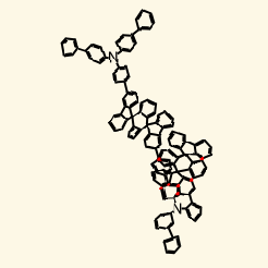 c1ccc(-c2ccc(N(c3ccc(-c4ccccc4)cc3)c3ccc(-c4ccc5c(c4)-c4ccccc4C54c5ccccc5C5(c6ccccc6-c6cc(-c7ccc(-c8ccc(N(c9cccc(-c%10ccccc%10)c9)c9ccccc9-c9ccc%10c(c9)-c9ccccc9C%109c%10ccccc%10C%10(c%11ccccc%11-c%11ccccc%11%10)c%10ccccc%109)cc8)cc7)ccc65)c5ccccc54)cc3)cc2)cc1